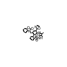 Cc1noc(NS(=O)(=O)c2ccccc2-c2ccc(-c3ncco3)cc2Cn2c(=O)oc3ccccc32)c1C